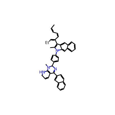 C\C=C/C=C\C(=C\CC)c1c(C)n(-c2ccc(C3N=C(c4ccc5ccccc5c4)C4=C(NCC=C4)N3C)cc2)c2cc3ccccc3cc12